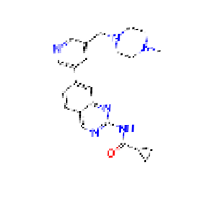 CN1CCN(Cc2cncc(-c3ccc4cnc(NC(=O)C5CC5)nc4c3)c2)CC1